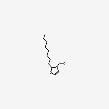 CCCCCCCCC1OC=CN1C=O